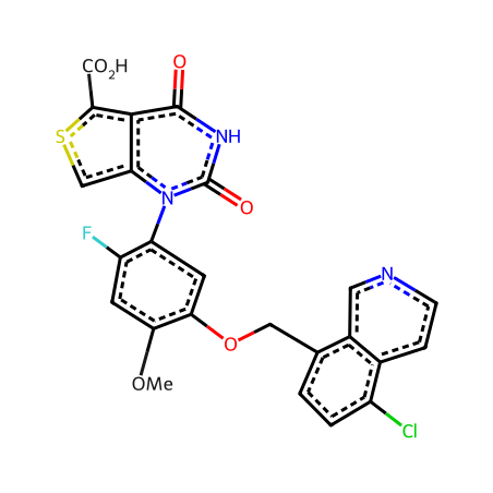 COc1cc(F)c(-n2c(=O)[nH]c(=O)c3c(C(=O)O)scc32)cc1OCc1ccc(Cl)c2ccncc12